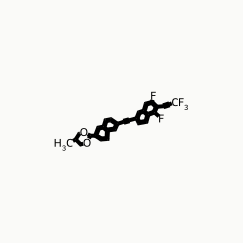 CC1COC(c2ccc3cc(C#Cc4ccc5c(F)c(C#CC(F)(F)F)c(F)cc5c4)ccc3c2)OC1